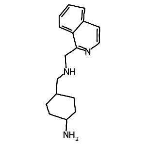 NC1CCC(CNCc2nccc3ccccc23)CC1